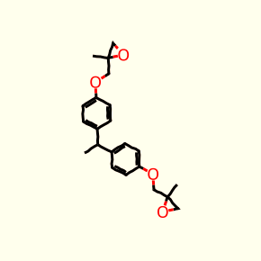 CC(c1ccc(OCC2(C)CO2)cc1)c1ccc(OCC2(C)CO2)cc1